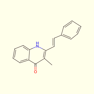 Cc1c(/C=C/c2ccccc2)[nH]c2ccccc2c1=O